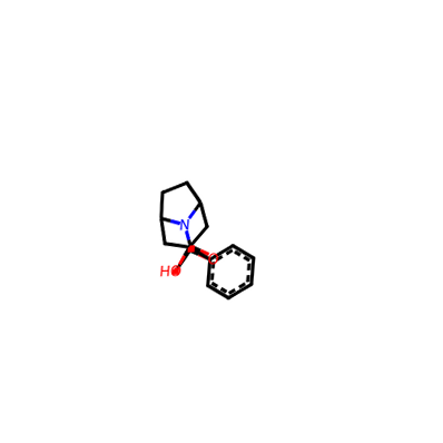 CC(=O)N1C2CCC1CC(O)(c1ccccc1)C2